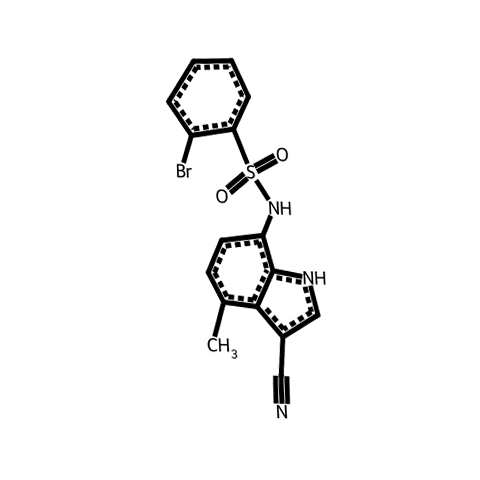 Cc1ccc(NS(=O)(=O)c2ccccc2Br)c2[nH]cc(C#N)c12